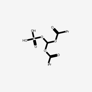 CC(C)C(=O)OC(OC(=O)C(C)C)OP(=O)(O)O